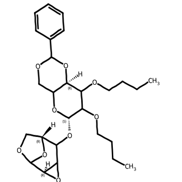 CCCCOC1C(OCCCC)[C@@H]2OC(c3ccccc3)OCC2O[C@H]1OC1C2O[C@H]2C2OC[C@H]1O2